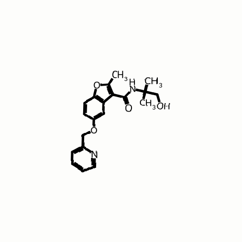 Cc1oc2ccc(OCc3ccccn3)cc2c1C(=O)NC(C)(C)CO